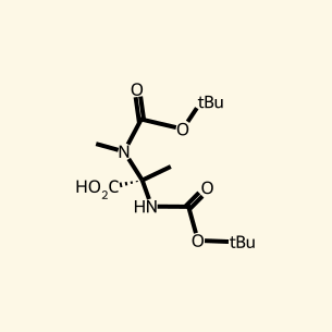 CN(C(=O)OC(C)(C)C)[C@@](C)(NC(=O)OC(C)(C)C)C(=O)O